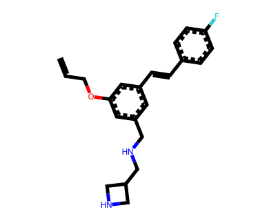 C=CCOc1cc(/C=C/c2ccc(F)cc2)cc(CNCC2CNC2)c1